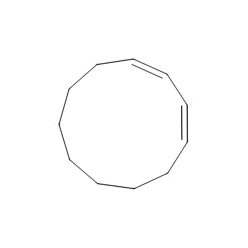 C1=CCCCCCCCC=C1